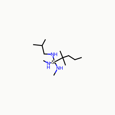 CCCC(C)(C)[Si](NC)(NC)NCC(C)C